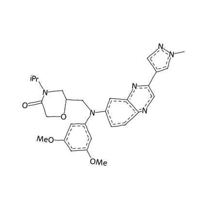 COc1cc(OC)cc(N(CC2CN(C(C)C)C(=O)CO2)c2ccc3ncc(-c4cnn(C)c4)nc3c2)c1